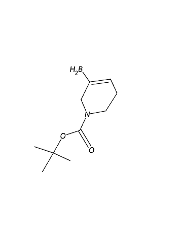 BC1=CCCN(C(=O)OC(C)(C)C)C1